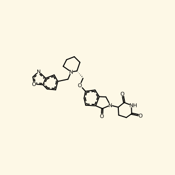 O=C1CCC(N2Cc3cc(OC[C@H]4CCCCN4Cc4ccc5ocnc5c4)ccc3C2=O)C(=O)N1